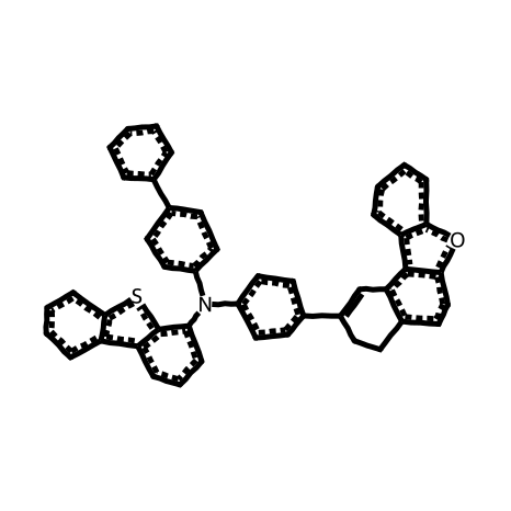 C1=C(c2ccc(N(c3ccc(-c4ccccc4)cc3)c3cccc4c3sc3ccccc34)cc2)CCc2ccc3oc4ccccc4c3c21